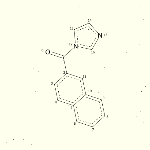 O=C(c1ccc2ccccc2c1)n1ccnc1